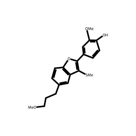 COCCCc1ccc2oc(-c3ccc(O)c(OC)c3)c(SC)c2c1